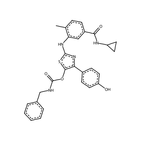 Cc1ccc(C(=O)NC2CC2)cc1Nc1nc(-c2ccc(O)cc2)c(OC(=O)NCc2ccccc2)s1